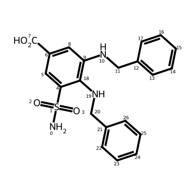 NS(=O)(=O)c1cc(C(=O)O)cc(NCc2ccccc2)c1NCc1ccccc1